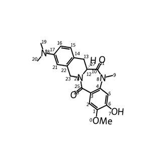 COc1cc2c(cc1O)N(C)C(=O)[C@@H]1Cc3ccc(N(C)C)cc3CN1C2=O